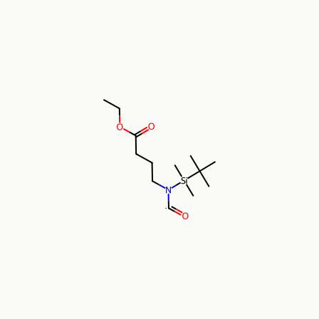 CCOC(=O)CCCN([C]=O)[Si](C)(C)C(C)(C)C